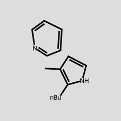 CCCCc1[nH]ccc1C.c1ccncc1